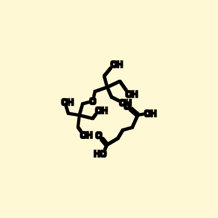 O=C(O)CCCC(=O)O.OCC(CO)(CO)COCC(CO)(CO)CO